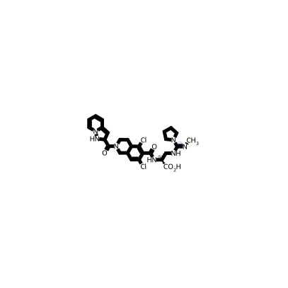 C/N=C(/NC[C@H](NC(=O)C1=C(Cl)C2CCN(C(=O)C3C=C4C=CC=CN4N3)CC2C=C1Cl)C(=O)O)N1CCCC1